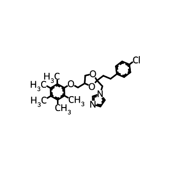 Cc1c(C)c(C)c(OCC2COC(CCc3ccc(Cl)cc3)(Cn3ccnc3)O2)c(C)c1C